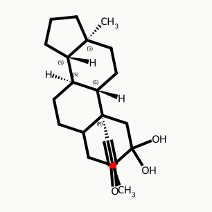 CC#C[C@]12CC(O)(O)C(=O)CC1CC[C@H]1[C@@H]3CCC[C@@]3(C)CC[C@@H]12